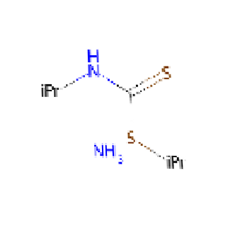 CC(C)NC(=S)SC(C)C.N